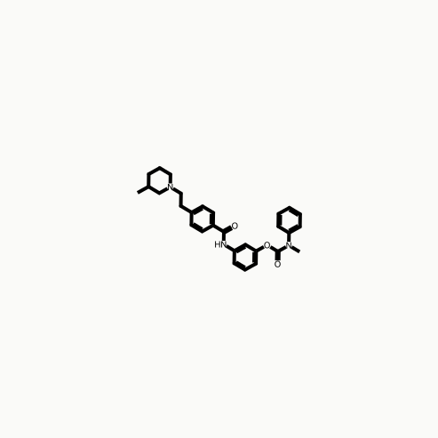 CC1CCCN(CCc2ccc(C(=O)Nc3cccc(OC(=O)N(C)c4ccccc4)c3)cc2)C1